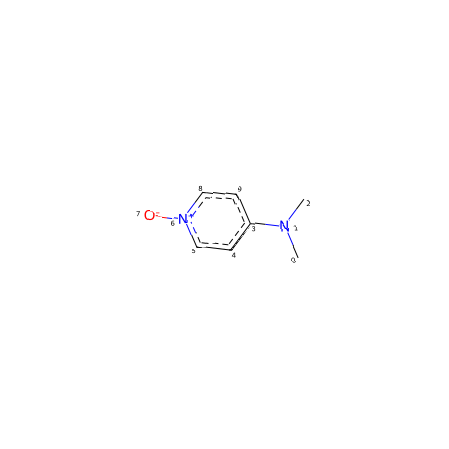 CN(C)c1cc[n+]([O-])cc1